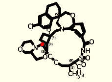 C[C@@H]1[C@@H](C)CCC[C@@]2(CN3CCOCC3CO2)[C@@H]2CC[C@H]2CN2C[C@@]3(CCCc4cc(Cl)ccc43)COc3ccc(cc32)C(=O)NS1(=O)=O